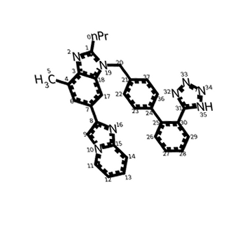 CCCc1nc2c(C)cc(-c3cn4ccccc4n3)cc2n1Cc1ccc(-c2ccccc2-c2nnn[nH]2)cc1